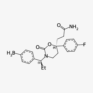 Bc1ccc([C@H](CC)N2CC[C@](CCC(N)=O)(c3ccc(F)cc3)OC2=O)cc1